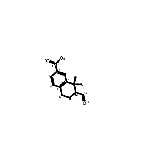 CC1(C)c2cc([N+](=O)[O-])ccc2CCC1C=O